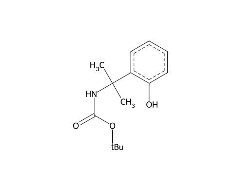 CC(C)(C)OC(=O)NC(C)(C)c1ccccc1O